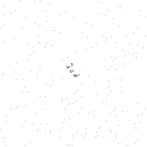 [N-3].[Nb+5].[O-2].[Ti]